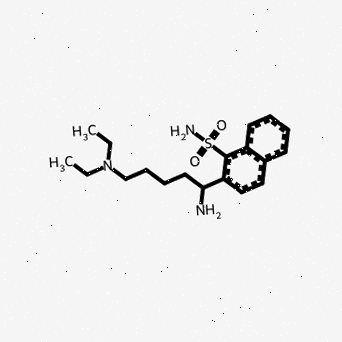 CCN(CC)CCCCC(N)c1ccc2ccccc2c1S(N)(=O)=O